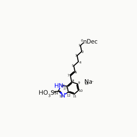 CCCCCCCCCCCCCCCC=Cc1cccc2nc(S(=O)(=O)O)[nH]c12.[Na]